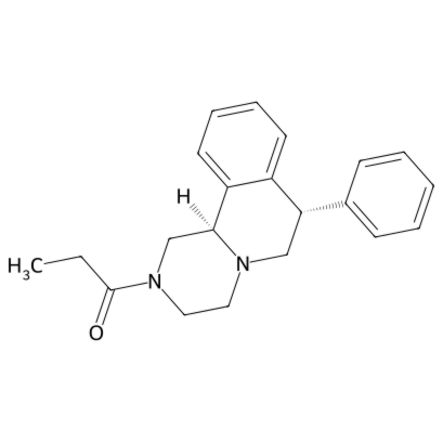 CCC(=O)N1CCN2C[C@@H](c3ccccc3)c3ccccc3[C@@H]2C1